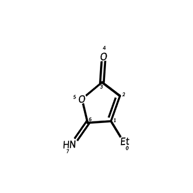 CCC1=CC(=O)OC1=N